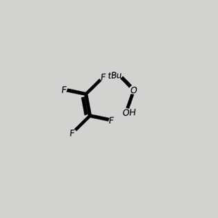 CC(C)(C)OO.FC(F)=C(F)F